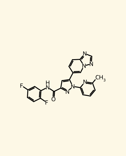 Cc1cccc(-n2nc(C(=O)Nc3cc(F)ccc3F)cc2-c2ccc3ncnn3c2)n1